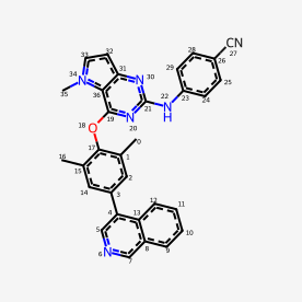 Cc1cc(-c2cncc3ccccc23)cc(C)c1Oc1nc(Nc2ccc(C#N)cc2)nc2ccn(C)c12